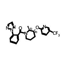 C[C@H]1[C@H](Oc2ccc(C(F)(F)F)cn2)CCCN1C(=O)c1ccccc1-n1nccn1